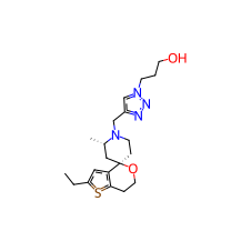 CCc1cc2c(s1)CCO[C@@]21CCN(Cc2cn(CCCO)nn2)[C@@H](C)C1